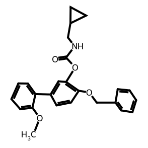 COc1ccccc1-c1ccc(OCc2ccccc2)c(OC(=O)NCC2CC2)c1